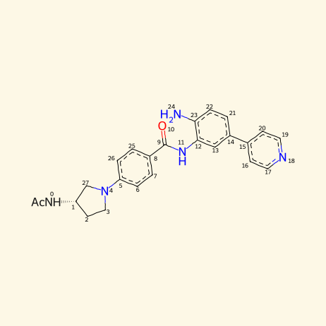 CC(=O)N[C@H]1CCN(c2ccc(C(=O)Nc3cc(-c4ccncc4)ccc3N)cc2)C1